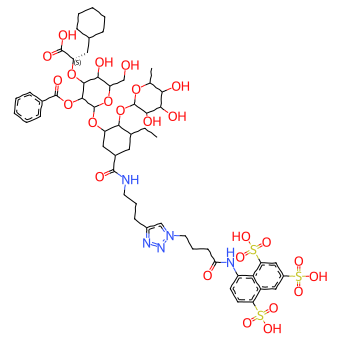 CCC1CC(C(=O)NCCCc2cn(CCCC(=O)Nc3ccc(S(=O)(=O)O)c4cc(S(=O)(=O)O)cc(S(=O)(=O)O)c34)nn2)CC(OC2OC(CO)C(O)C(O[C@@H](CC3CCCCC3)C(=O)O)C2OC(=O)c2ccccc2)C1OC1OC(C)C(O)C(O)C1O